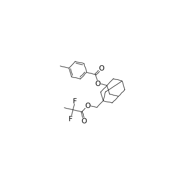 Cc1ccc(C(=O)OC23CC4CC(CC(COC(=O)C(C)(F)F)(C4)C2)C3)cc1